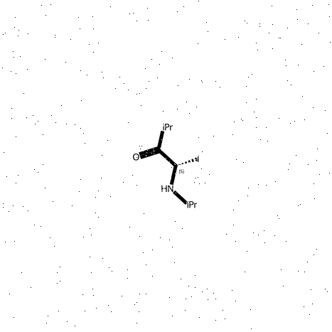 CC(C)N[C@@H](I)C(=O)C(C)C